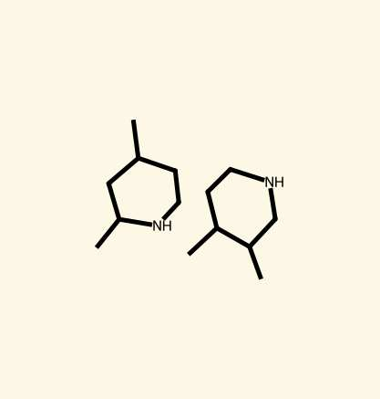 CC1CCNC(C)C1.CC1CCNCC1C